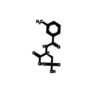 Cc1cccc(C(=O)N[C@@H](CS(=O)(=O)O)C(=O)O)c1